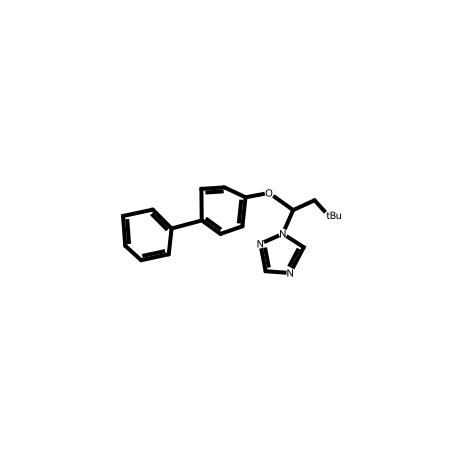 CC(C)(C)CC(Oc1ccc(-c2ccccc2)cc1)n1cncn1